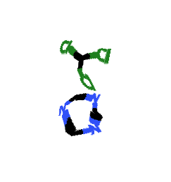 ClC(Cl)Cl.c1ncncn1